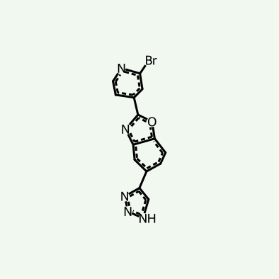 Brc1cc(-c2nc3cc(-c4c[nH]nn4)ccc3o2)ccn1